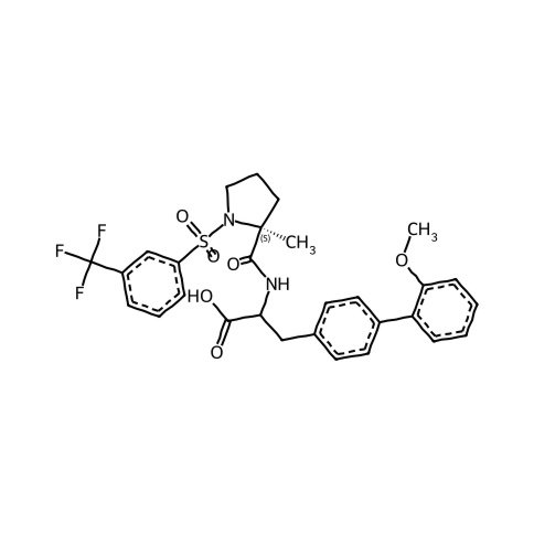 COc1ccccc1-c1ccc(CC(NC(=O)[C@]2(C)CCCN2S(=O)(=O)c2cccc(C(F)(F)F)c2)C(=O)O)cc1